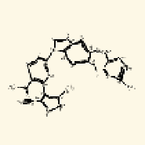 CC(=O)c1ccc(-n2cnc3cc(Nc4ccc(C)nn4)c(F)cc32)nc1-c1c(C#N)n[nH]c1C